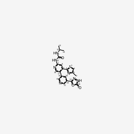 Cc1csc(-c2cc(NC(=O)NC(C)C)ncc2-c2cncc(-c3n[nH]c(=O)o3)c2)n1